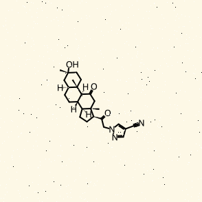 C[C@@]1(O)CC[C@@]2(C)[C@@H](CC[C@H]3[C@@H]4CC[C@H](C(=O)Cn5cc(C#N)cn5)[C@@]4(C)CC(=O)[C@@H]32)C1